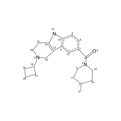 CC1CCN(C(=O)c2ccc3c(c2)C2=C(CCN(C4CCC4)C2)[N]3)CC1